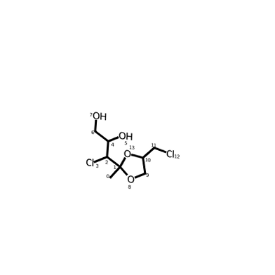 CC1(C(Cl)C(O)CO)OCC(CCl)O1